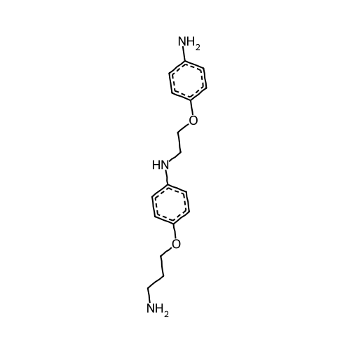 NCCCOc1ccc(NCCOc2ccc(N)cc2)cc1